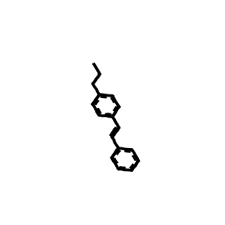 CCCc1ccc(/C=C/c2ccccc2)cc1